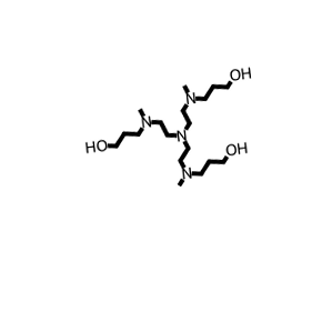 CN(CCCO)CCN(CCN(C)CCCO)CCN(C)CCCO